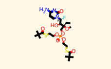 CC[C@](COP(=O)(OCCSC(=O)C(C)(C)C)OCCSC(=O)C(C)(C)C)(OC)[C@@H](O)[C@@H](F)n1ccc(N)nc1=O